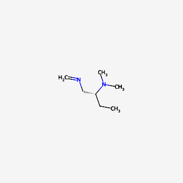 C=NC[C@@H](CC)N(C)C